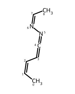 C/C=C\C=C=N/N=C\C